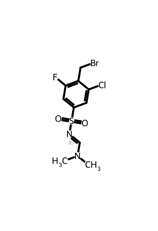 CN(C)/C=N/S(=O)(=O)c1cc(F)c(CBr)c(Cl)c1